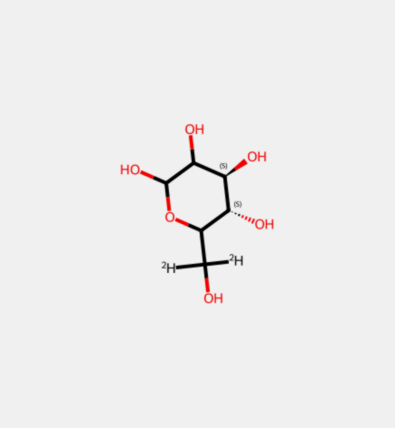 [2H]C([2H])(O)C1OC(O)C(O)[C@@H](O)[C@@H]1O